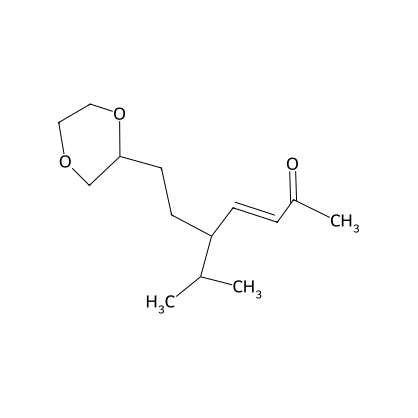 CC(=O)C=CC(CCC1COCCO1)C(C)C